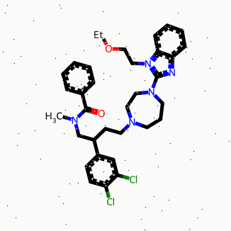 CCOCCn1c(N2CCCN(CCC(CN(C)C(=O)c3ccccc3)c3ccc(Cl)c(Cl)c3)CC2)nc2ccccc21